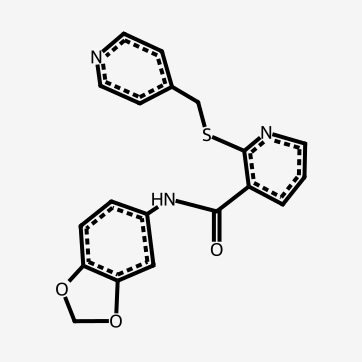 O=C(Nc1ccc2c(c1)OCO2)c1cccnc1SCc1ccncc1